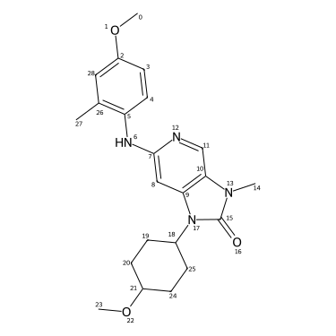 COc1ccc(Nc2cc3c(cn2)n(C)c(=O)n3C2CCC(OC)CC2)c(C)c1